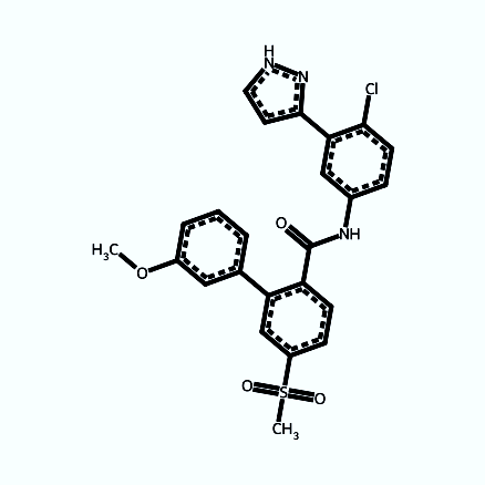 COc1cccc(-c2cc(S(C)(=O)=O)ccc2C(=O)Nc2ccc(Cl)c(-c3cc[nH]n3)c2)c1